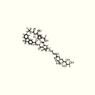 C[C@H](O)[C@H](O)[C@@H](O)[C@@H](O)CN(CC(=O)NCCOC[C@@]12C[C@@H]1N(C(=O)CNC(=O)c1ccc3c(c1)-c1ccccc1C3(F)F)[C@H](C(=O)N[C@H](C)c1cc(C(=N)NC(=O)OC(C)(C)C)cs1)C2)C(=O)O